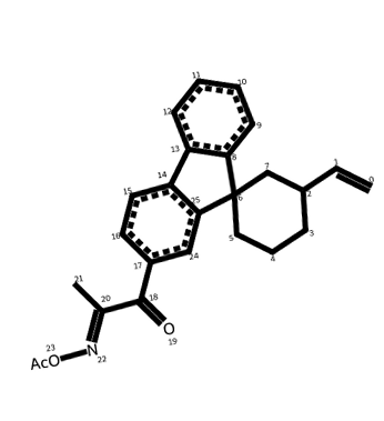 C=CC1CCCC2(C1)c1ccccc1-c1ccc(C(=O)/C(C)=N/OC(C)=O)cc12